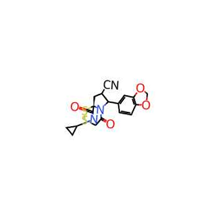 N#CC1C[C@@]23SSC(C(=O)N2C1c1ccc2c(c1)OCO2)N(C1CC1)C3=O